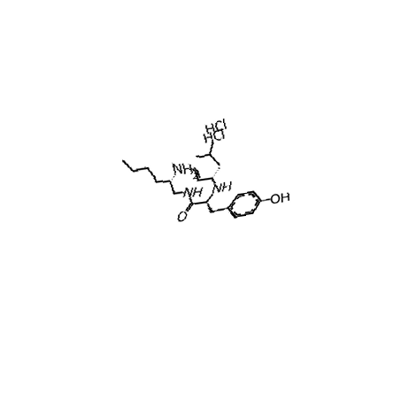 C=C[C@H](CC(C)C)N[C@@H](Cc1ccc(O)cc1)C(=O)NC[C@@H](N)CCCC.Cl.Cl